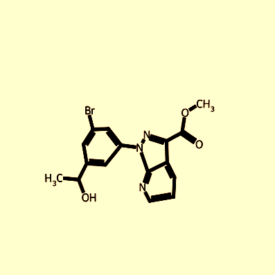 COC(=O)c1nn(-c2cc(Br)cc(C(C)O)c2)c2ncccc12